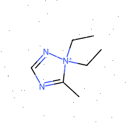 CC[N+]1(CC)N=CN=C1C